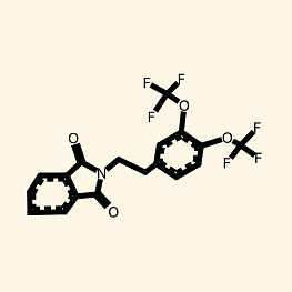 O=C1c2ccccc2C(=O)N1CCc1ccc(OC(F)(F)F)c(OC(F)(F)F)c1